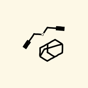 C#CCOCC#C.C1C2CC3CC1CC(C2)C3